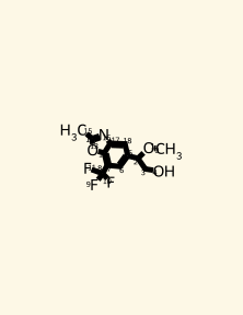 COC(CO)c1cc(C(F)(F)F)c2oc(C)nc2c1